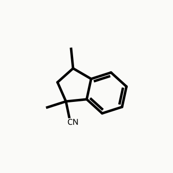 CC1CC(C)(C#N)c2ccccc21